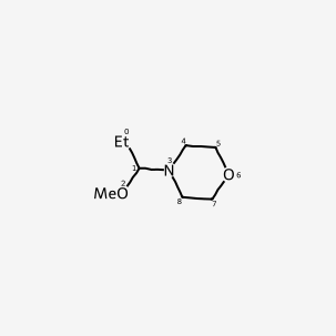 CCC(OC)N1CCOCC1